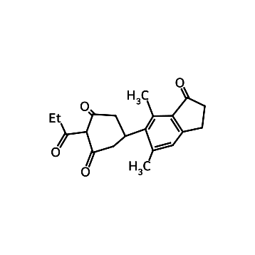 CCC(=O)C1C(=O)CC(c2c(C)cc3c(c2C)C(=O)CC3)CC1=O